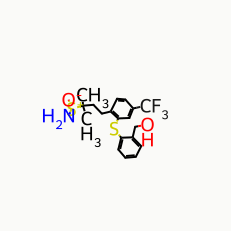 CC(C)(CCc1ccc(C(F)(F)F)cc1Sc1ccccc1CO)[S+](N)[O-]